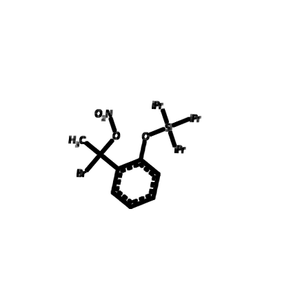 CC(C)[Si](Oc1ccccc1C(C)(Br)O[N+](=O)[O-])(C(C)C)C(C)C